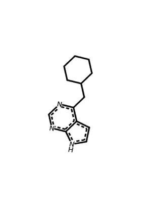 c1nc(CC2CCCCC2)c2cc[nH]c2n1